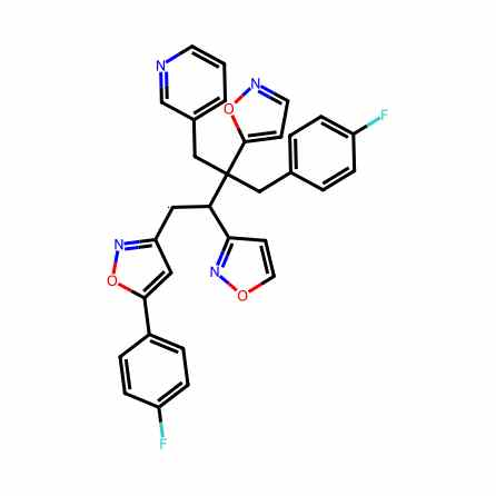 Fc1ccc(CC(Cc2cccnc2)(c2ccno2)C([CH]c2cc(-c3ccc(F)cc3)on2)c2ccon2)cc1